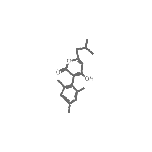 Cc1cc(C)c(-c2c(O)cc(CC(C)C)oc2=O)c(C)c1